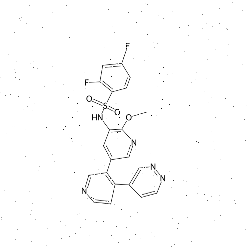 COc1ncc(-c2cnccc2-c2ccnnc2)cc1NS(=O)(=O)c1ccc(F)cc1F